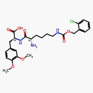 COc1ccc(C[C@H](NC(=O)[C@@H](N)CCCCNC(=O)OCc2ccccc2Cl)C(=O)O)cc1OC